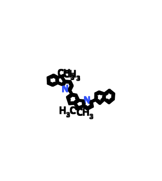 CC1(C)c2ccccc2-c2nc(-c3ccc4c(c3)-c3nc(-c5ccc6ccccc6c5)ccc3C4(C)C)ccc21